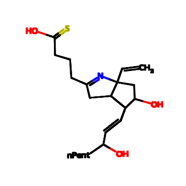 C=CC12CC(O)C(C=CC(O)CCCCC)C1CC(CCCC(O)=S)=N2